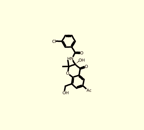 CC(=O)c1cc(CO)c2c(c1)C(=O)[C@](O)(NC(=O)c1cccc(Cl)c1)C(C)(C)O2